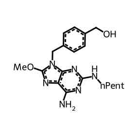 CCCCCNc1nc(N)c2nc(OC)n(Cc3ccc(CO)cc3)c2n1